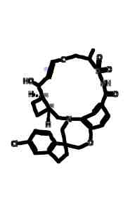 CC1CC/C=C/C(O)[C@@H]2CC[C@H]2CN2CC3(CCc4cc(Cl)ccc43)COc3ccc(cc32)C(=O)NS1(=O)=O